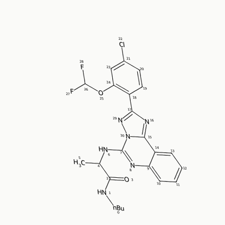 CCCCNC(=O)C(C)Nc1nc2ccccc2c2nc(-c3ccc(Cl)cc3OC(F)F)nn12